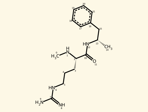 CN[C@@H](CCCNC(=N)N)C(=O)N[C@@H](C)Cc1ccccc1